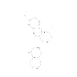 CC(C)(C)Cc1ccc2c(c1)sc1c(-c3cc(C(C)(C)C)c4ccccc4c3)ncc([N+](=O)[O-])c12